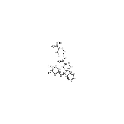 O=C(C[C@H]1CC[C@H](C(=O)O)CC1)N1CCc2c(n(Cc3ccc(Cl)c(F)c3)c3ncccc23)C1